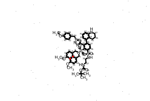 COc1ccc(CN(Cc2ccc(OC)cc2)S(=O)(=O)c2c(S(=O)(=O)NCCNC(=O)OC(C)(C)C)ccc(-c3cccc4c3CCCN4)c2-c2nnn(Cc3ccc(OC)cc3)n2)cc1